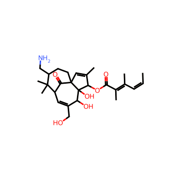 C/C=C\C(C)=C(/C)C(=O)OC1C(C)=CC23CCC(CN)C(C)(C)C(C=C(CO)C(O)C12O)C3=O